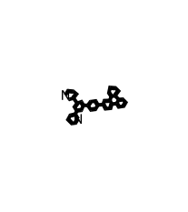 c1ccc(-c2cc(-c3ccc(-c4ccc5c6ccccc6c6ccccc6c5c4)cc3)cc(-c3cccnc3)c2)nc1